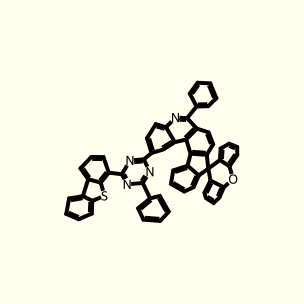 c1ccc(-c2nc(-c3ccc4nc(-c5ccccc5)c5ccc6c(c5c4c3)-c3ccccc3C63c4ccccc4Oc4ccccc43)nc(-c3cccc4c3sc3ccccc34)n2)cc1